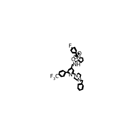 O=C(NCc1cc(-c2ccc(C(F)(F)F)cc2)nc(N2CCN(Cc3ccccc3)CC2)c1)[C@@H]1CCCN1S(=O)(=O)c1ccc(F)cc1